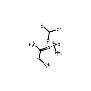 CCC(C)=O.ClC(Cl)Cl.NC=O